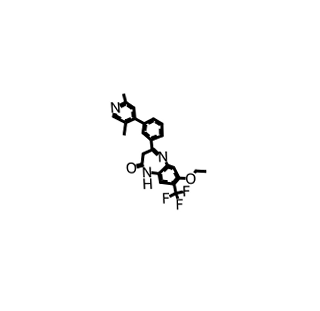 CCOc1cc2c(cc1C(F)(F)F)NC(=O)CC(c1cccc(-c3cc(C)ncc3C)c1)=N2